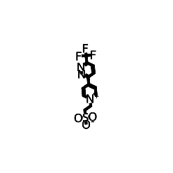 O=S(=O)([O-])CC[n+]1ccc(-c2ccc(C(F)(F)F)nn2)cc1